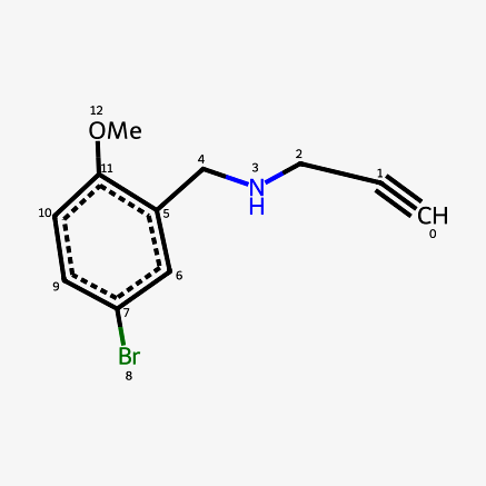 C#CCNCc1cc(Br)ccc1OC